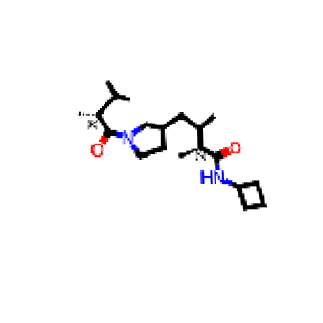 CC(CC1CCN(C(=O)[C@H](C)C(C)C)C1)[C@H](C)C(=O)NC1CCC1